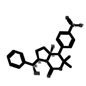 CC1(C)OC(=O)N2[C@@H]([C@H](O)c3ccccc3)CC[C@H]2C1c1ccc([N+](=O)[O-])cc1